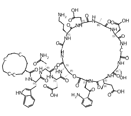 C[C@H](CC(=O)O)[C@@H]1NC(=O)[C@@H](CO)NC(=O)CNC(=O)[C@H](CC(=O)O)NC(=O)[C@@H](C)NC(=O)[C@H](CC(=O)O)NC(=O)[C@H](CCCN)NC(=O)CNC(=O)[C@@H](NC(=O)[C@H](CC(=O)O)NC(=O)[C@@H](CC(N)=O)NC(=O)[C@H](Cc2c[nH]c3ccccc23)NC(=O)C2CCCCCCCCCCC2)[C@@H](C)OC(=O)[C@H](CC(=O)c2ccccc2N)NC1=O